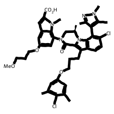 COCCCOc1cc(N2C[C@@H](C)n3c(c(CCCOc4cc(C)c(Cl)c(C)c4)c4ccc(Cl)c(-c5c(C)nn(C)c5C)c43)C2=O)c2c(c1)cc(C(=O)O)n2C